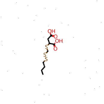 CCCCSSCSC(CC(=O)O)C(=O)O